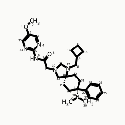 COc1cnc(NC(=O)CN2CN(CC3CCC3)[C@]3(CC[C@@](c4ccccc4)(N(C)C)CC3)C2)nc1